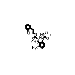 CS/C(=N\CCc1ccccc1Cl)SCc1c(C)cccc1-n1nnn(C)c1=O